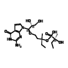 CCC(C)(CCO[C@H]([C@H](O)CO)n1ccc2c(=O)[nH]c(N)nc21)OP(=O)(O)[C@@](C)(O)CC